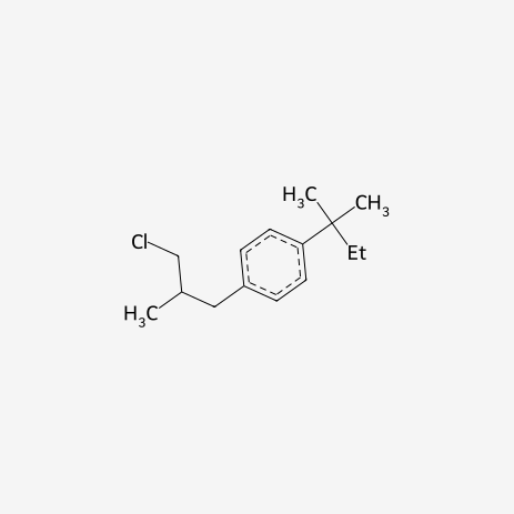 CCC(C)(C)c1ccc(CC(C)CCl)cc1